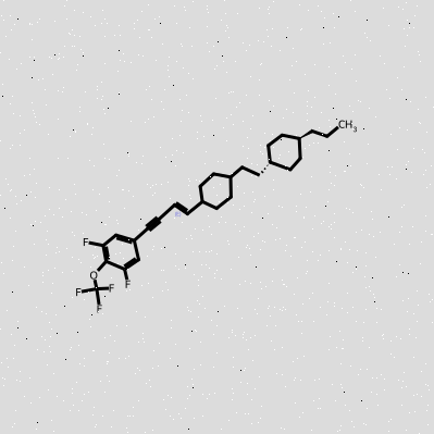 CCC[C@H]1CC[C@H](CCC2CCC(/C=C/C#Cc3cc(F)c(OC(F)(F)F)c(F)c3)CC2)CC1